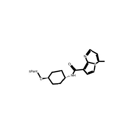 CCCCCO[C@H]1CC[C@H](NC(=O)c2ccn3c(C)ccnc23)CC1